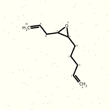 C=CCCCC1OC1CC=C